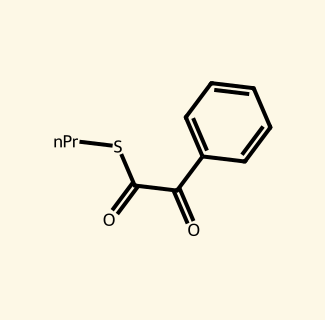 CCCSC(=O)C(=O)c1ccccc1